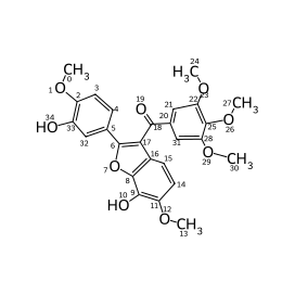 COc1ccc(-c2oc3c(O)c(OC)ccc3c2C(=O)c2cc(OC)c(OC)c(OC)c2)cc1O